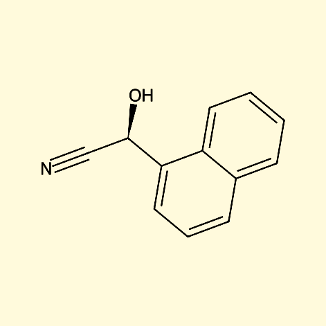 N#C[C@@H](O)c1cccc2ccccc12